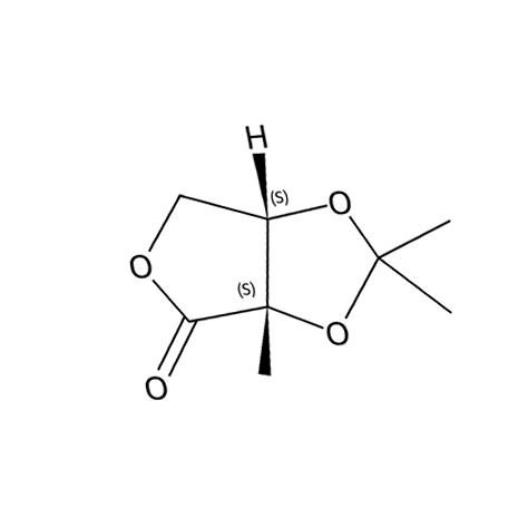 CC1(C)O[C@H]2COC(=O)[C@@]2(C)O1